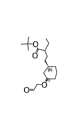 CCC(CC[C@H]1CCC[C@@H](OCC=O)C1)C(=O)OC(C)(C)C